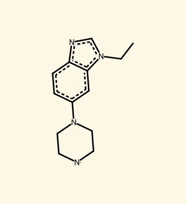 CCn1cnc2ccc(N3CC[N]CC3)cc21